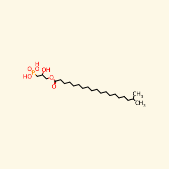 CC(C)CCCCCCCCCCCCCCCCC(=O)OCC(O)CP(=O)(O)O